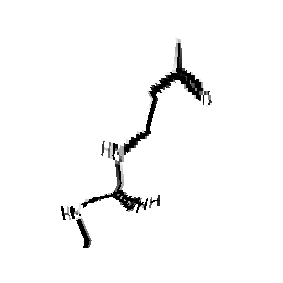 CNC(=N)NCCC(C)=O